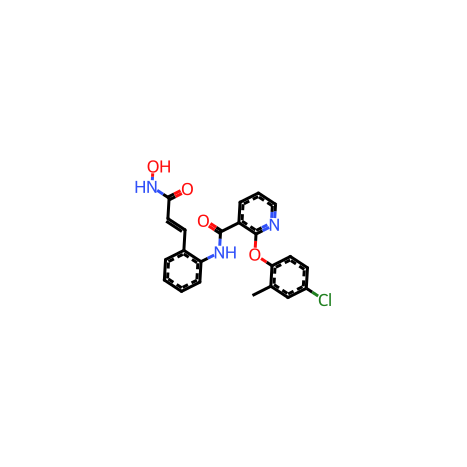 Cc1cc(Cl)ccc1Oc1ncccc1C(=O)Nc1ccccc1/C=C/C(=O)NO